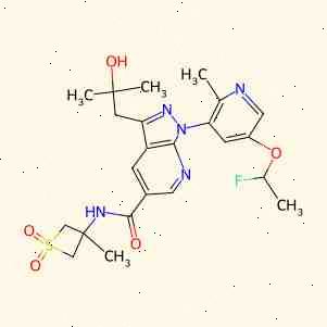 Cc1ncc(OC(C)F)cc1-n1nc(CC(C)(C)O)c2cc(C(=O)NC3(C)CS(=O)(=O)C3)cnc21